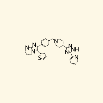 c1ccc(-c2nc(C3CCN(Cc4ccc(-c5nc6ncccn6c5-c5cccs5)cc4)CC3)n[nH]2)nc1